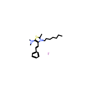 CCCCCCC[n+]1c(C)sc(N(C)C)c1C=Cc1ccccc1.[I-]